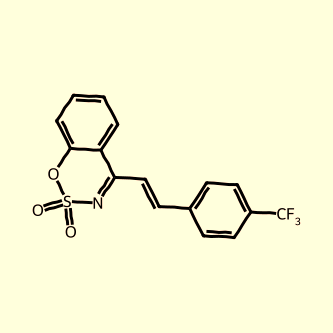 O=S1(=O)N=C(C=Cc2ccc(C(F)(F)F)cc2)c2ccccc2O1